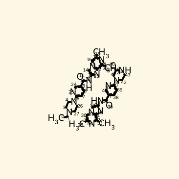 CCN1CCN(c2ccc(C(=O)Nc3cn4cc(C)nc(C)c4n3)cn2)CC1.Cc1cn2cc(NC(=O)c3ccc(N4CCNC(C)C4)nc3)nc2c(C)n1